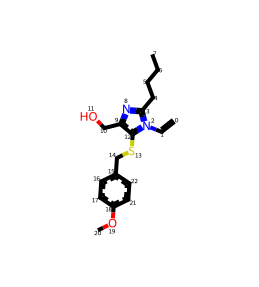 C=Cn1c(CCCC)nc(CO)c1SCc1ccc(OC)cc1